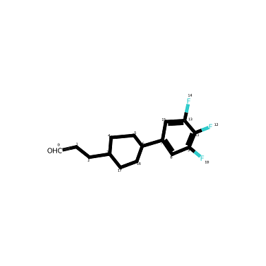 O=CCCC1CCC(c2cc(F)c(F)c(F)c2)CC1